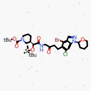 CC(C)(C)OC(=O)N1CCC[C@@H](C(O[Si](C)(C)C(C)(C)C)C(=O)NCC(=O)CCc2c(Cl)cc3c(cnn3C3CCCCO3)c2Br)C1